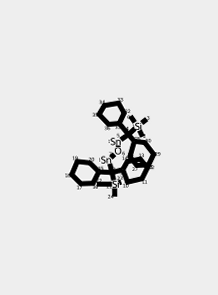 C[Si](C)(C)[C]([Sn][O][Sn][C](C1CCCCC1)(C1CCCCC1)[Si](C)(C)C)(C1CCCCC1)C1CCCCC1